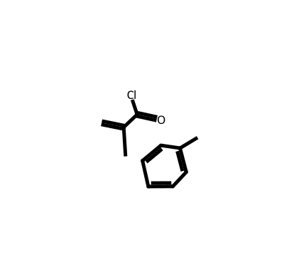 C=C(C)C(=O)Cl.Cc1ccccc1